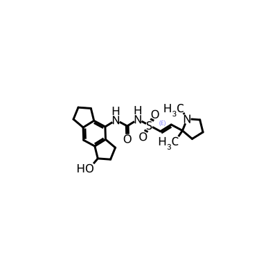 CN1CCCC1(C)/C=C/S(=O)(=O)NC(=O)Nc1c2c(cc3c1CCC3O)CCC2